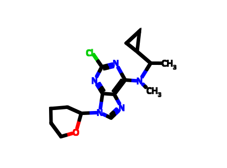 CC(C1CC1)N(C)c1nc(Cl)nc2c1ncn2C1CCCCO1